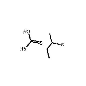 CC[CH](C)[K].OC(=S)S